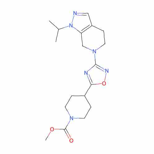 COC(=O)N1CCC(c2nc(N3CCc4cnn(C(C)C)c4C3)no2)CC1